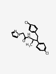 CC(NC(=O)Cn1cccn1)C(Cc1ccc(Cl)cc1)c1ccc(Cl)cc1